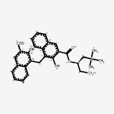 C[N+](C)(C)C[C@@H](CC(=O)O)OC(=O)c1cc2ccccc2c(Cc2c(O)c(C(=O)[O-])cc3ccccc23)c1O